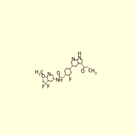 CCC(=O)c1c[nH]c2ncc(-c3ccc(CC(=O)Nc4cnc(OC)c(C(F)(F)I)c4)c(F)c3)cc12